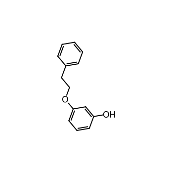 Oc1cccc(OCCc2ccccc2)c1